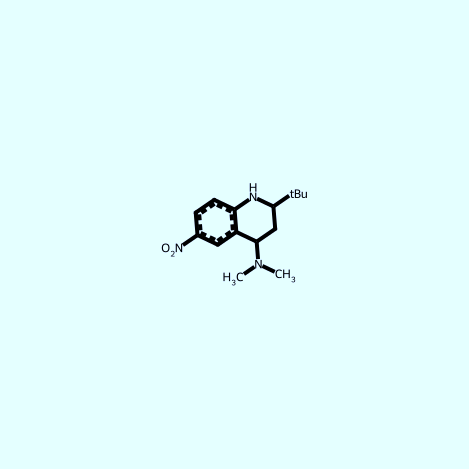 CN(C)C1CC(C(C)(C)C)Nc2ccc([N+](=O)[O-])cc21